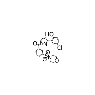 O=C(c1cccc(S(=O)(=O)N2CCOCC2)c1)n1ccc(-c2cc(Cl)ccc2O)n1